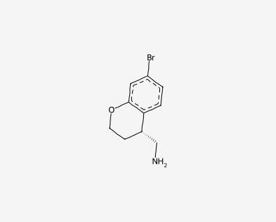 NC[C@@H]1CCOc2cc(Br)ccc21